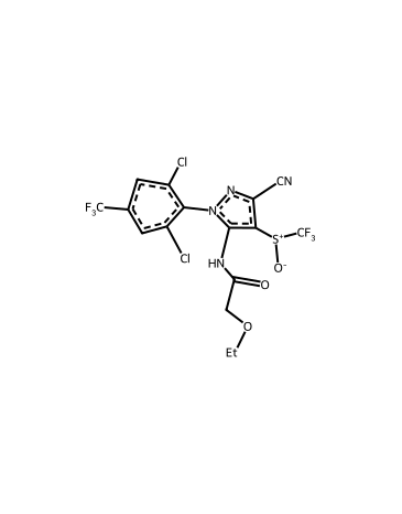 CCOCC(=O)Nc1c([S+]([O-])C(F)(F)F)c(C#N)nn1-c1c(Cl)cc(C(F)(F)F)cc1Cl